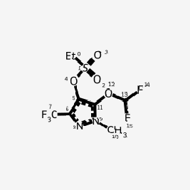 CCS(=O)(=O)Oc1c(C(F)(F)F)nn(C)c1OC(F)F